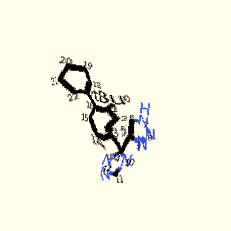 CC(C)(C)c1cc(C2(c3c[nH]nn3)N=CN=N2)ccc1-c1ccccc1